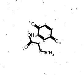 CCCC(=O)O.O=C1C=CC(=O)C=C1